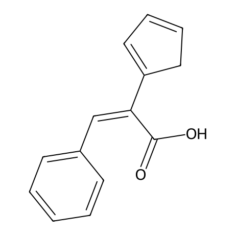 O=C(O)C(=Cc1ccccc1)C1=CC=CC1